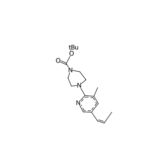 C/C=C\c1cnc(N2CCN(C(=O)OC(C)(C)C)CC2)c(C)c1